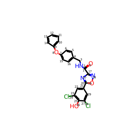 O=C(NCc1ccc(Oc2ccccc2)cc1)c1noc(-c2cc(Cl)c(O)c(Cl)c2)n1